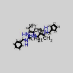 C=C(NCc1ccccc1)N[C@@H](CC(C)C)C(=C)NC(CC)C(=C)C(=C)NCC1=CC=CC1